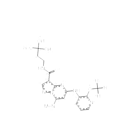 [2H]C([2H])([2H])Oc1ncccc1Nc1cc(NC)n2ncc(C(=O)NCCC(C)(C)O)c2n1